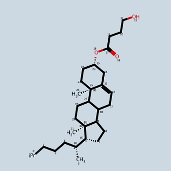 CC(C)CCC[C@@H](C)[C@H]1CCC2C3CC=C4C[C@@H](OC(=O)CCCO)CC[C@]4(C)C3CC[C@@]21C